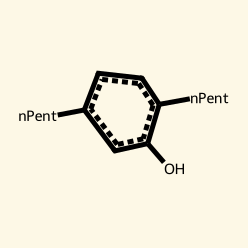 CCCCCc1ccc(CCCCC)c(O)c1